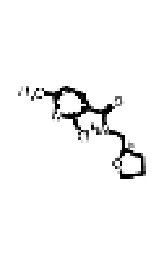 Cc1ccc(C(=O)NC[C@H]2CCCO2)c(Cl)n1